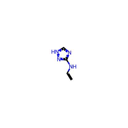 C=CNc1nc[nH]n1